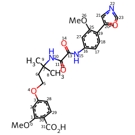 COc1cc(OCCC(C)(C)NC(=O)C(=O)Nc2ccc(-c3cnco3)c(OC)c2)ccc1C(=O)O